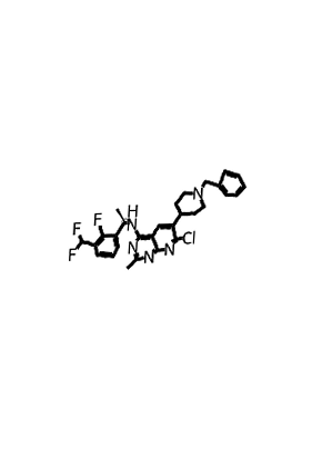 Cc1nc(N[C@H](C)c2cccc(C(F)F)c2F)c2cc(C3CCN(Cc4ccccc4)CC3)c(Cl)nc2n1